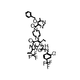 C=C(c1nc2n(CC(=O)Nc3ccc(C(F)(F)F)cc3Cl)c(CC)c(N3CCN(C(=O)c4ncnc(C)c4OCc4ccccc4)CC3)c(=O)n2n1)C(F)(F)F